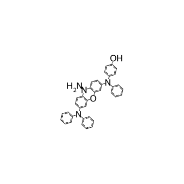 NN1c2ccc(N(c3ccccc3)c3ccccc3)cc2Oc2cc(N(c3ccccc3)c3ccc(O)cc3)ccc21